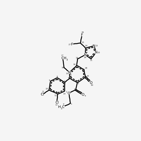 CCOC(=O)c1c(-c2ccc(Cl)c(Cl)c2)n(CC)c(Cn2cnnc2C(F)F)cc1=O